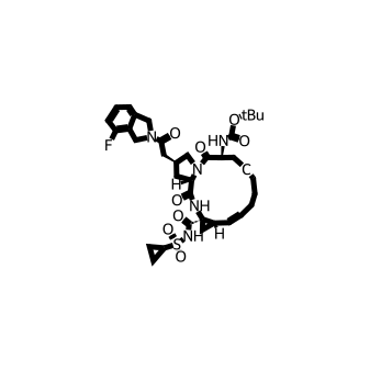 CC(C)(C)OC(=O)N[C@H]1CCCCC/C=C\[C@@H]2C[C@@]2(C(=O)NS(=O)(=O)C2CC2)NC(=O)[C@@H]2C[C@@H](CC(=O)N3Cc4cccc(F)c4C3)CN2C1=O